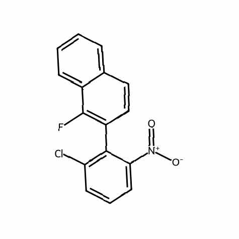 O=[N+]([O-])c1cccc(Cl)c1-c1ccc2ccccc2c1F